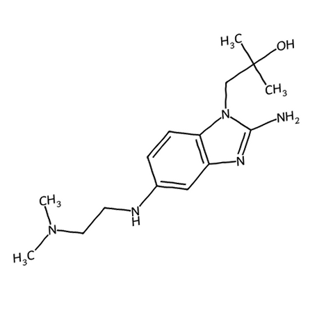 CN(C)CCNc1ccc2c(c1)nc(N)n2CC(C)(C)O